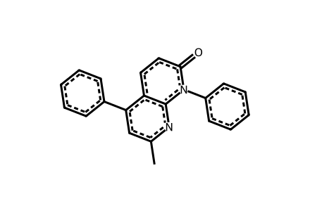 Cc1cc(-c2ccccc2)c2ccc(=O)n(-c3ccccc3)c2n1